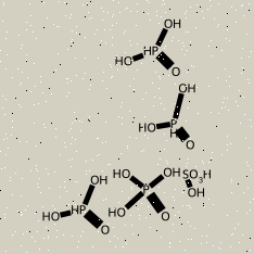 O=P(O)(O)O.O=S(=O)(O)O.O=[PH](O)O.O=[PH](O)O.O=[PH](O)O